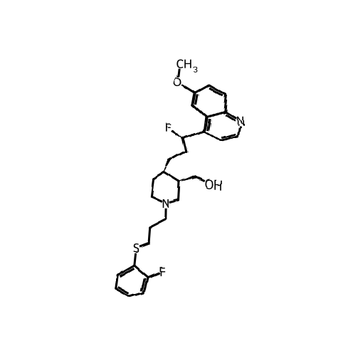 COc1ccc2nccc([C@H](F)CC[C@@H]3CCN(CCCSc4ccccc4F)C[C@@H]3CO)c2c1